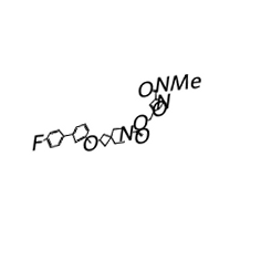 CNC(=O)c1cc(COC(=O)N2CCC3(CC2)CC(Oc2cccc(-c4ccc(F)cc4)c2)C3)on1